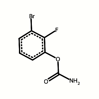 NC(=O)Oc1cccc(Br)c1F